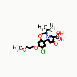 COCCCOc1cc2c(cc1Cl)-c1cc(=O)c(B(O)O)cn1[C@H](C(C)C)CO2